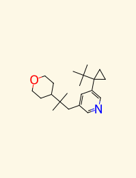 CC(C)(Cc1cncc(C2(C(C)(C)C)CC2)c1)C1CCOCC1